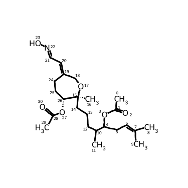 CC(=O)OC(CC=C(C)C)C(C)CCC[C@]1(C)OC/C(=C/C=N/O)CC[C@H]1OC(C)=O